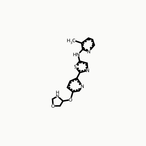 Cc1cccnc1Nc1cnc(-c2ccc(OC3COCN3)cn2)s1